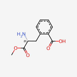 COC(=O)[C@H](N)Cc1ccccc1C(=O)O